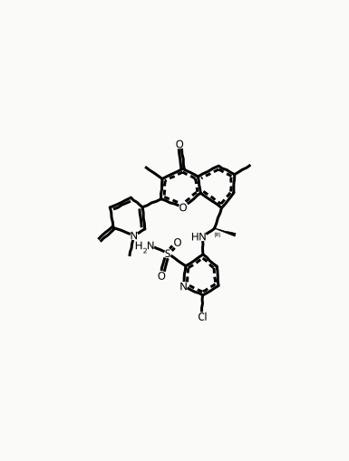 C=C1C=CC(c2oc3c([C@@H](C)Nc4ccc(Cl)nc4S(N)(=O)=O)cc(C)cc3c(=O)c2C)=CN1C